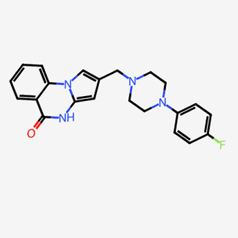 O=c1[nH]c2cc(CN3CCN(c4ccc(F)cc4)CC3)cn2c2ccccc12